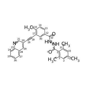 Cc1cc(C)c(C(=O)NNC(=O)c2ccc(C)c(C#Cc3cnc4ccccc4c3)c2)c(C)c1